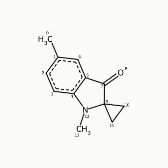 Cc1ccc2c(c1)C(=O)C1(CC1)N2C